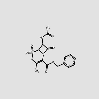 CC1=C(C(=O)OCc2ccccc2)N2C(=O)[C@H](NC(=O)C(F)(F)F)C2S(=O)(=O)C1